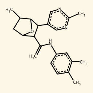 C=C(Nc1ccc(C)c(C)c1)C1C2CC(C)C(O2)C1c1cnc(C)nc1